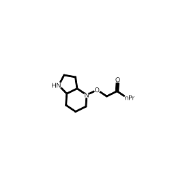 CCCC(=O)CON1CCCC2NCCC21